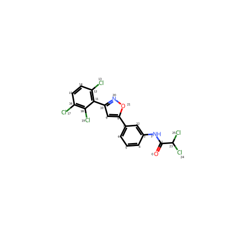 O=C(Nc1cccc(-c2cc(-c3c(Cl)ccc(Cl)c3Cl)no2)c1)C(Cl)Cl